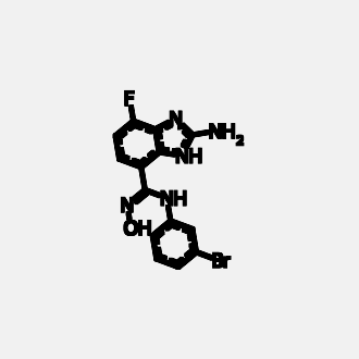 Nc1nc2c(F)ccc(/C(=N/O)Nc3cccc(Br)c3)c2[nH]1